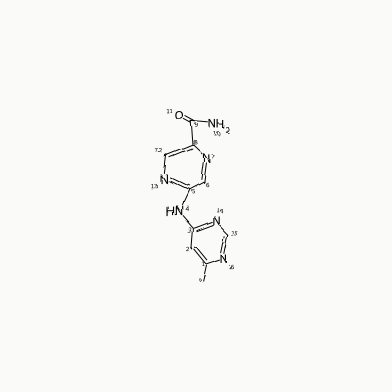 Cc1cc(Nc2cnc(C(N)=O)cn2)ncn1